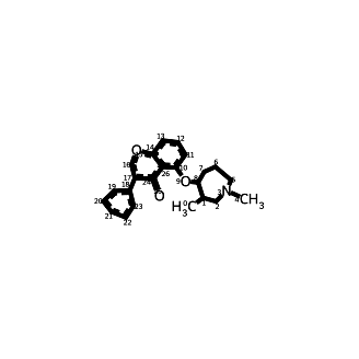 CC1CN(C)CCCC1Oc1cccc2occ(-c3ccccc3)c(=O)c12